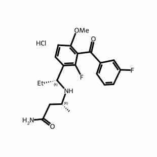 CC[C@@H](N[C@H](C)CC(N)=O)c1ccc(OC)c(C(=O)c2cccc(F)c2)c1F.Cl